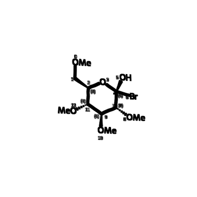 COC[C@H]1O[C@](O)(Br)[C@H](OC)[C@@H](OC)[C@@H]1OC